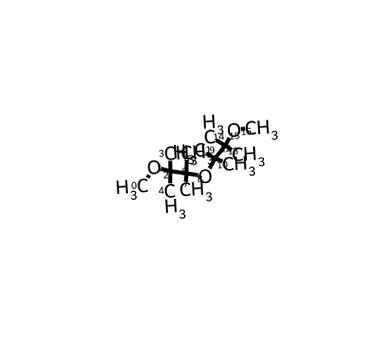 COC(C)(C)C(C)(C)OC(C)(C)C(C)(C)OC